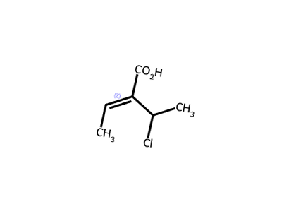 C/C=C(/C(=O)O)C(C)Cl